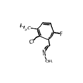 Cc1ccc(F)c(C=NO)c1Cl